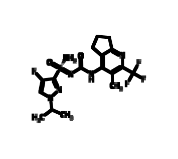 Cc1c(C(F)(F)F)nc2c(c1NC(=O)N=[S@](N)(=O)c1nn(C(C)C)cc1F)CCC2